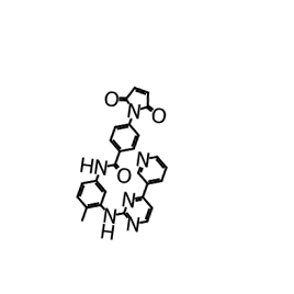 Cc1ccc(NC(=O)c2ccc(N3C(=O)C=CC3=O)cc2)cc1Nc1nccc(-c2cccnc2)n1